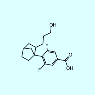 O=C(O)c1cc(F)c(C23CCC(CC2CCCO)C3)c(F)c1